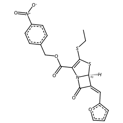 CCSC1=C(C(=O)OCc2ccc([N+](=O)[O-])cc2)N2C(=O)C(=Cc3ccco3)[C@@H]2S1